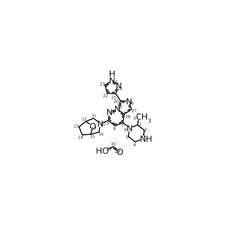 CC1CNCCN1c1cc(N2CC3CCC(C2)O3)nn2c(-c3cc[nH]n3)ncc12.O=CO